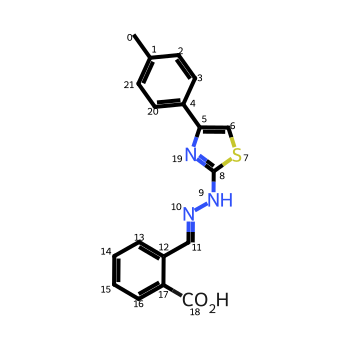 Cc1ccc(-c2csc(NN=Cc3ccccc3C(=O)O)n2)cc1